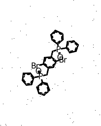 O=P(Cc1cc(Br)c(CP(=O)(c2ccccc2)c2ccccc2)cc1Br)(c1ccccc1)c1ccccc1